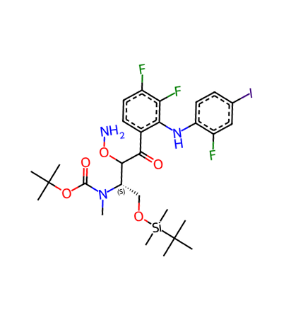 CN(C(=O)OC(C)(C)C)[C@@H](CO[Si](C)(C)C(C)(C)C)C(ON)C(=O)c1ccc(F)c(F)c1Nc1ccc(I)cc1F